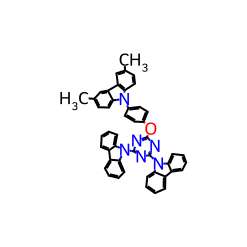 Cc1ccc2c(c1)c1cc(C)ccc1n2-c1ccc(Oc2nc(-n3c4ccccc4c4ccccc43)nc(-n3c4ccccc4c4ccccc43)n2)cc1